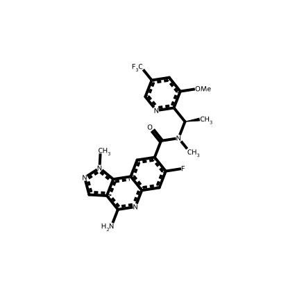 COc1cc(C(F)(F)F)cnc1[C@@H](C)N(C)C(=O)c1cc2c(cc1F)nc(N)c1cnn(C)c12